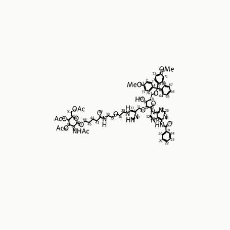 COc1ccc(C(OC[C@H]2O[C@@H](n3cnc4c(NC(=O)c5ccccc5)ncnc43)[C@H](OC/C(=C/NCCOCCNC(=O)CCCCOC3OC(COC(C)=O)C(OC(C)=O)C(OC(C)=O)C3NC(C)=O)N=N)[C@@H]2O)(c2ccccc2)c2ccc(OC)cc2)cc1